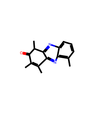 CC1=C(C)c2nc3c(C)cccc3nc2C(C)C1=O